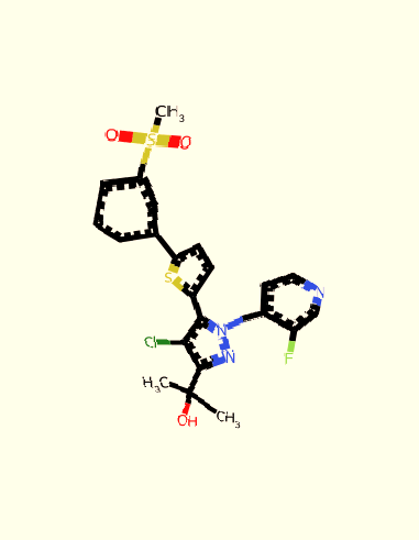 CC(C)(O)c1nn(-c2ccncc2F)c(-c2ccc(-c3cccc(S(C)(=O)=O)c3)s2)c1Cl